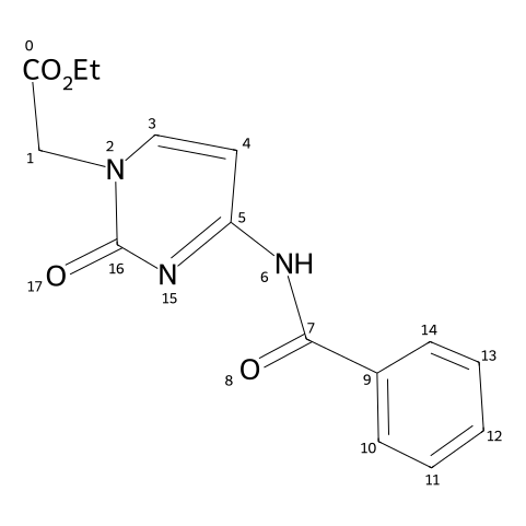 CCOC(=O)Cn1ccc(NC(=O)c2ccccc2)nc1=O